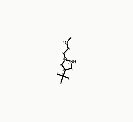 COCCN1CC(C(C)(C)C)CN1